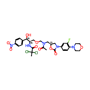 CC(=O)N(COC[C@@H](NC(=O)C(C)(Cl)Cl)[C@H](O)c1ccc([N+](=O)[O-])cc1)C[C@H]1CN(c2ccc(N3CCOCC3)c(F)c2)C(=O)O1